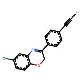 CCC#Cc1ccc(C2=Nc3cc(Cl)ccc3OC2)cc1